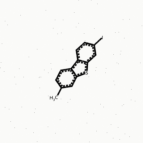 Cc1ccc2c(c1)sc1cc(I)ccc12